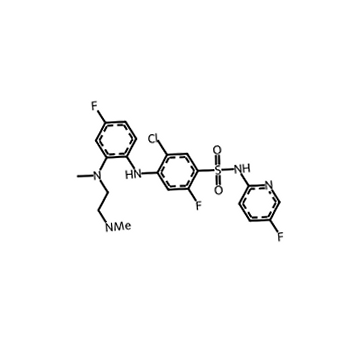 CNCCN(C)c1cc(F)ccc1Nc1cc(F)c(S(=O)(=O)Nc2ccc(F)cn2)cc1Cl